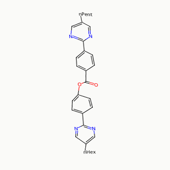 CCCCCCc1cnc(-c2ccc(OC(=O)c3ccc(-c4ncc(CCCCC)cn4)cc3)cc2)nc1